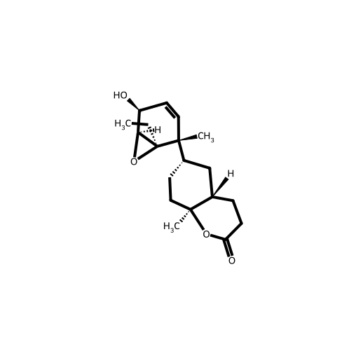 CC[C@]12O[C@H]1[C@@H](O)C=C[C@]2(C)[C@H]1CC[C@]2(C)OC(=O)CC[C@H]2C1